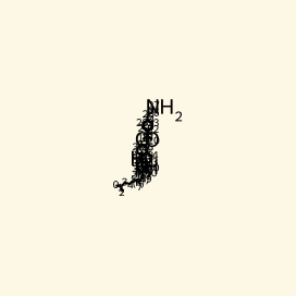 CC(C)CCC[C@@H](C)[C@H]1CC[C@H]2[C@@H]3CC=C4C[C@@H](OC(=O)c5ccc(CCN)cc5)CC[C@]4(C)[C@H]3CC[C@]12C